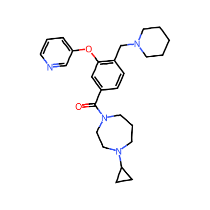 O=C(c1ccc(CN2CCCCC2)c(Oc2cccnc2)c1)N1CCCN(C2CC2)CC1